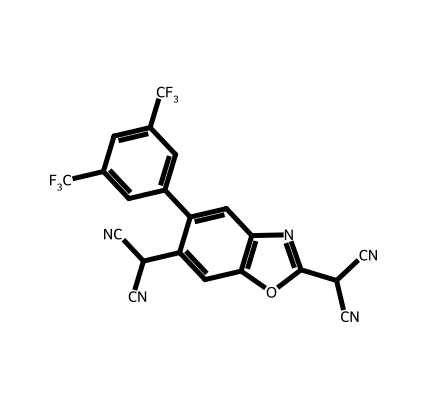 N#CC(C#N)c1nc2cc(-c3cc(C(F)(F)F)cc(C(F)(F)F)c3)c(C(C#N)C#N)cc2o1